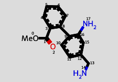 COC(=O)c1ccccc1-c1ccc(CN)cc1N